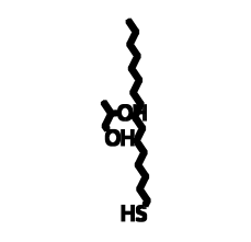 CC(O)CO.CCCCCCCCCCCCCCCCS